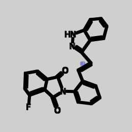 O=C1c2cccc(F)c2C(=O)N1c1ccccc1/C=C/c1n[nH]c2ccccc12